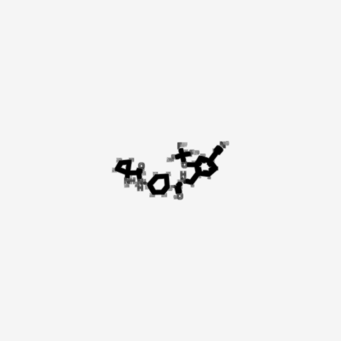 N#Cc1ccc(CNC(=O)[C@H]2CC[C@@H](NC(=O)C3(N)CCC3)CC2)c(OC(F)(F)F)c1